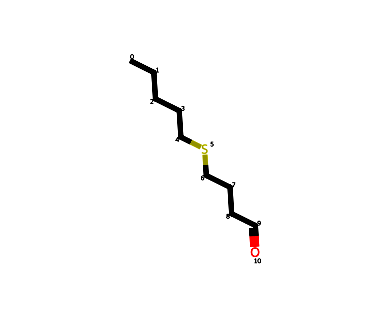 CCCCCSCCCC=O